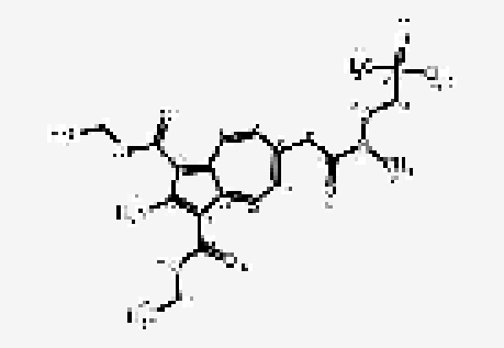 CCOC(=O)c1c2ccc(CC(=O)N(C)OCP(C)(C)=O)ccc-2c(C(=O)OCC)c1N